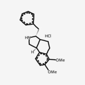 COc1ccc2c(c1OC)CCC1[C@@H]2CN[C@@H]1Cc1ccccc1.Cl